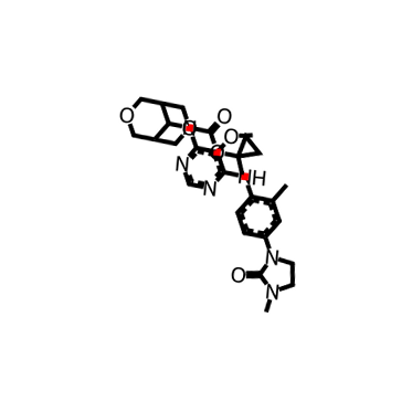 COc1c(Nc2ccc(N3CCN(C)C3=O)cc2C)ncnc1OC1C2COCC1CN(C(=O)OC1(C)CC1)C2